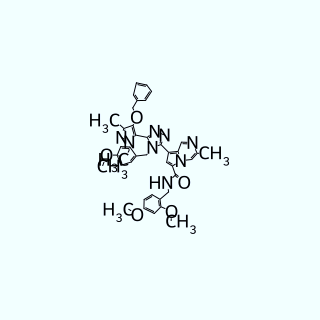 CCn1nc(C)c(OCc2ccccc2)c1-c1nnc(-c2cc(C(=O)NCc3ccc(OC)cc3OC)n3cc(C)ncc23)n1Cc1ccc(OC)cc1